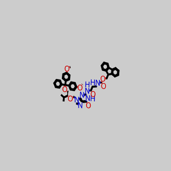 COc1ccc(C(OC[C@@H](OCn2cnc3c(=O)[nH]c(NC(=O)CCNC(=O)OCC4c5ccccc5-c5ccccc54)nc32)C(C)C)(c2ccccc2)c2ccc(OC)cc2)cc1